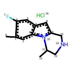 Cc1cc2c(cc1F)cc1n2C(C)CNC1.Cl